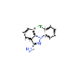 Nc1nn(-c2ccccc2Cl)c2ccccc12